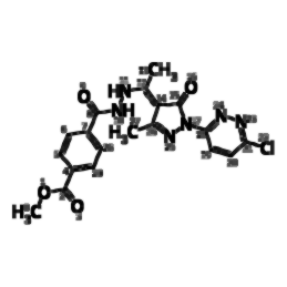 COC(=O)c1ccc(C(=O)NNC(C)=C2C(=O)N(c3ccc(Cl)nn3)N=C2C)cc1